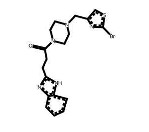 O=C(CCc1nc2ccccc2[nH]1)N1CCN(Cc2csc(Br)n2)CC1